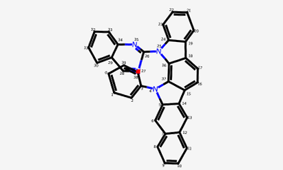 c1ccc(-n2c3cc4ccccc4cc3c3ccc4c5ccccc5n(-c5ncc6ccccc6n5)c4c32)cc1